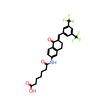 O=C(O)CCCCCC(=O)Nc1ccc2c(c1)CCC(=Cc1cc(C(F)(F)F)cc(C(F)(F)F)c1)C2=O